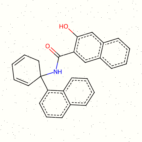 O=C(NC1(c2cccc3ccccc23)C=CC=CC1)c1cc2ccccc2cc1O